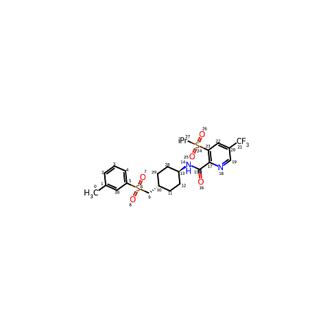 Cc1cccc(S(=O)(=O)C[C@H]2CC[C@H](NC(=O)c3ncc(C(F)(F)F)cc3S(=O)(=O)C(C)C)CC2)c1